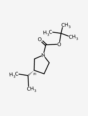 CC(C)[C@H]1CCN(C(=O)OC(C)(C)C)C1